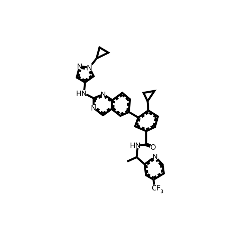 CC(NC(=O)c1ccc(C2CC2)c(-c2ccc3nc(Nc4cnn(C5CC5)c4)ncc3c2)c1)c1cc(C(F)(F)F)ccn1